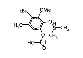 COc1c(O[SiH](C)C)c(O[PH](=O)O)cc(C)c1C(C)(C)C